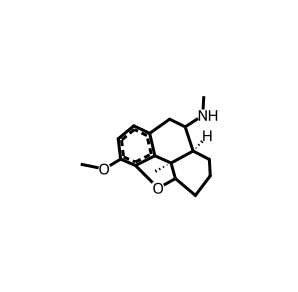 CNC1Cc2ccc(OC)c3c2[C@]2(C)C(CCC[C@H]12)O3